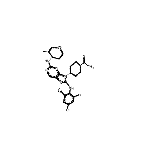 C[C@H]1COCC[C@@H]1Nc1ncc2nc(Nc3c(Cl)cc(Cl)cc3Cl)n([C@H]3CC[C@H](C(N)=O)CC3)c2n1